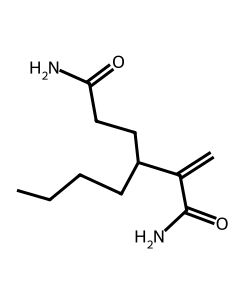 C=C(C(N)=O)C(CCCC)CCC(N)=O